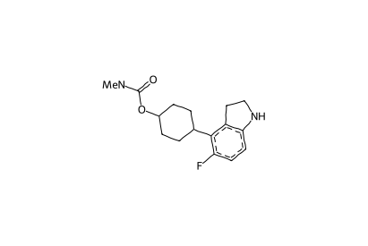 CNC(=O)OC1CCC(c2c(F)ccc3c2CCN3)CC1